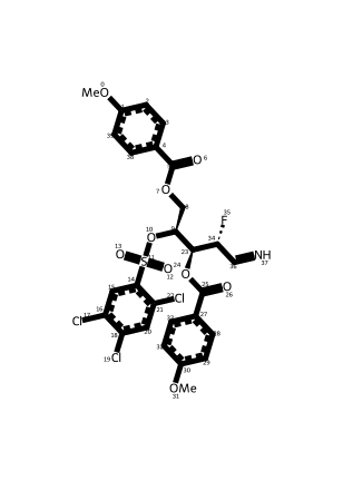 COc1ccc(C(=O)OC[C@H](OS(=O)(=O)c2cc(Cl)c(Cl)cc2Cl)[C@H](OC(=O)c2ccc(OC)cc2)[C@H](F)C=N)cc1